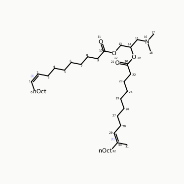 CCCCCCCC/C=C\CCCCCCCC(=O)OCC(CN(C)C)OC(=O)CCCCCCC/C=C(\C)CCCCCCCC